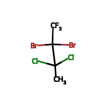 CC(Cl)(Cl)C(Br)(Br)C(F)(F)F